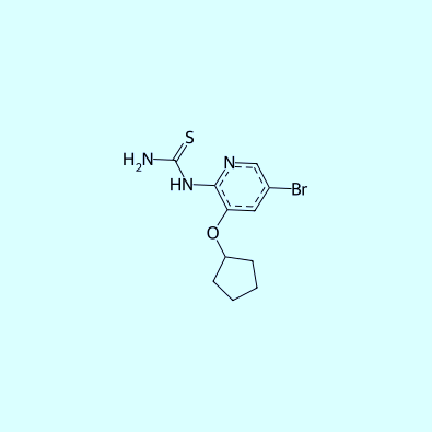 NC(=S)Nc1ncc(Br)cc1OC1CCCC1